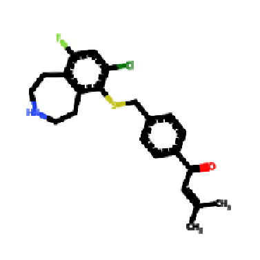 CC(C)=CC(=O)c1ccc(CSc2c(Cl)cc(F)c3c2CCNCC3)cc1